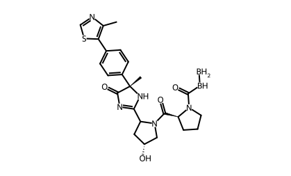 BBC(=O)N1CCC[C@H]1C(=O)N1C[C@H](O)CC1C1=NC(=O)[C@](C)(c2ccc(-c3scnc3C)cc2)N1